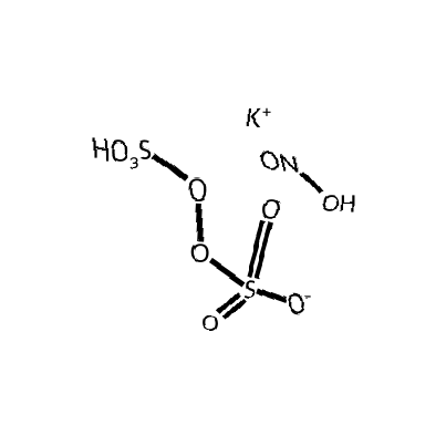 O=NO.O=S(=O)([O-])OOS(=O)(=O)O.[K+]